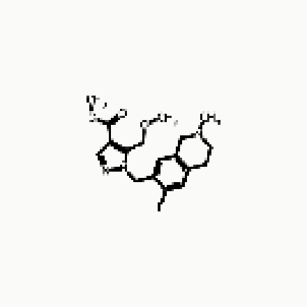 COCc1c(C(=O)OC)cnn1Cc1cc2c(cc1F)CCN(C)C2